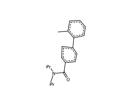 Cc1ccccc1-c1ccc(C(=O)N(C(C)C)C(C)C)cc1